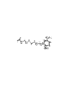 C=C(C)OCOCCCOCOc1cc(OC(C)=O)ccc1O